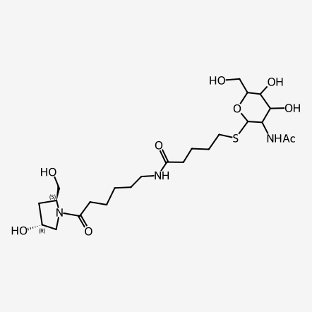 CC(=O)NC1C(SCCCCC(=O)NCCCCCC(=O)N2C[C@H](O)C[C@H]2CO)OC(CO)C(O)C1O